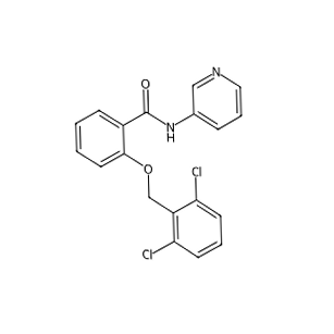 O=C(Nc1cccnc1)c1ccccc1OCc1c(Cl)cccc1Cl